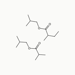 CC(C)COC(=O)C(C)C.CCC(C)C(=O)OCC(C)C